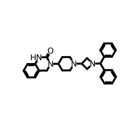 O=C1Nc2ccccc2CN1C1CCN(C2CN(C(c3ccccc3)c3ccccc3)C2)CC1